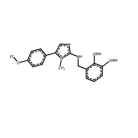 CCOc1ccc(-c2cnc(NCc3cccc(OC)c3OC)n2C)cc1